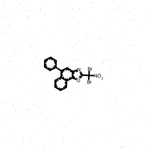 O=[N+]([O-])C(Br)(Br)c1nc2cc(-c3ccccc3)c3ccccc3c2o1